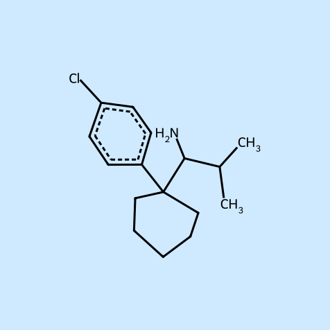 CC(C)C(N)C1(c2ccc(Cl)cc2)CCCCC1